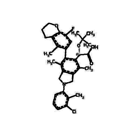 Cc1c(Cl)cccc1N1Cc2c(C)c(-c3cc(F)c4c(c3C)CCCO4)c([C@H](OC(C)(C)C)C(=O)O)c(C)c2C1